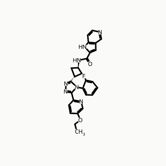 CCOc1ccc(-c2nnc([C@H]3C[C@H](NC(=O)c4cc5cnccc5[nH]4)C3)n2-c2ccccc2F)nc1